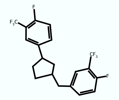 Fc1ccc(CC2CCC(c3ccc(F)c(C(F)(F)F)c3)C2)cc1C(F)(F)F